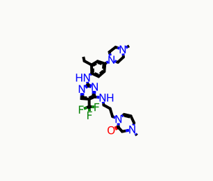 CCc1cc(N2CCN(C)CC2)ccc1Nc1ncc(C(F)(F)F)c(NCCCN2C=CCN(C)CC2=O)n1